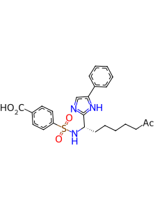 CC(=O)CCCCC[C@H](NS(=O)(=O)c1ccc(C(=O)O)cc1)c1ncc(-c2ccccc2)[nH]1